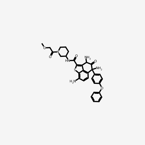 COCC(=O)N1CCCC(NC(=O)c2sc3c(N)ccc4c3c2C(N)C(=O)C4(N)c2ccc(Oc3ccccc3)cc2)C1